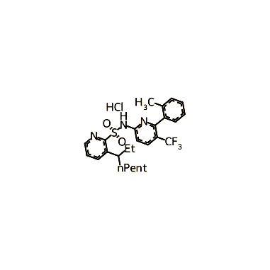 CCCCCC(CC)c1cccnc1S(=O)(=O)Nc1ccc(C(F)(F)F)c(-c2ccccc2C)n1.Cl